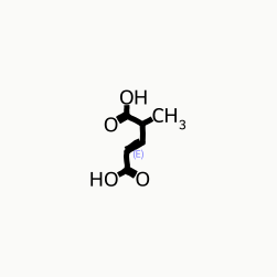 CC(/C=C/C(=O)O)C(=O)O